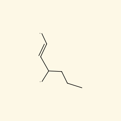 [CH2]C=CC([CH2])CCC